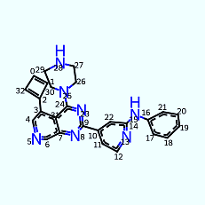 C1=CC(c2cncc3nc(-c4ccnc(Nc5ccccc5)c4)nc(N4CCNCC4)c23)=C1